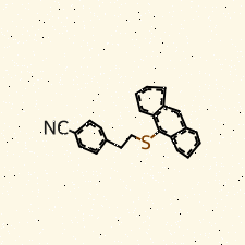 N#Cc1ccc(CCSc2c3ccccc3cc3ccccc23)cc1